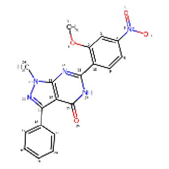 COc1cc([N+](=O)[O-])ccc1-c1nc2c(c(-c3ccccc3)nn2C)c(=O)[nH]1